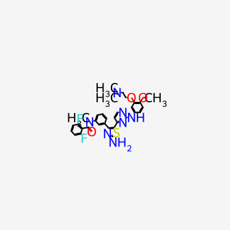 COc1ccc(Nc2nccc(-c3sc(N)nc3-c3cccc(N(C)C(=O)c4c(F)cccc4F)c3)n2)cc1OCCN(C)C